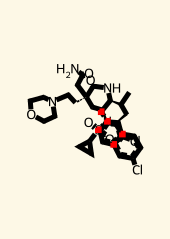 CC(C[C@@H](c1ccc(Cl)cc1)N(C)S(=O)(=O)C1CC1)[C@@H]1NC(=O)[C@](CCN2CCOCC2)(CC(N)=O)C[C@@H]1c1cccc(Cl)c1